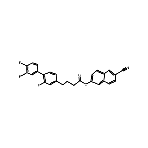 N#Cc1ccc2cc(OC(=O)CCCc3ccc(-c4ccc(F)c(F)c4)c(F)c3)ccc2c1